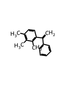 C=C(c1ccccc1)c1ccc(C)c(C)c1C